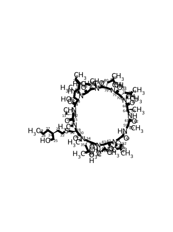 C/C=C/C[C@@H](C)[C@@H](O)[C@H]1C(=O)N[C@@H](CC)C(=O)N(C)[C@H](CSCC[C@@H](CO)CCC)C(=O)N(C)[C@@H](CC(C)(C)O)C(=O)N[C@@H](C(C)C)C(=O)N(C)[C@@H](CC(C)C)C(=O)N[C@@H](C)C(=O)N[C@H](C)C(=O)N(C)[C@@H](CC(C)C)C(=O)N(C)[C@@H](CC(C)C)C(=O)N(C)[C@@H](C(C)C)C(=O)N1C